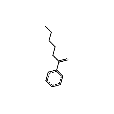 [CH]=C(CCCCC)c1cc[c]cc1